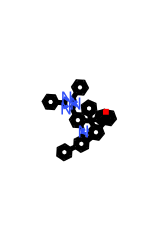 c1ccc(-c2ccc3c4ccc(-c5ccccc5)c5c4n(c3c2)-c2ccc(-c3nc(-c4ccccc4)nc(-c4ccccc4)n3)cc2C5(c2ccccc2)c2ccccc2)cc1